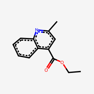 CCOC(=O)c1cc(C)nc2ccccc12